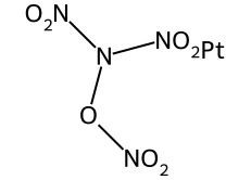 O=[N+]([O-])ON([N+](=O)[O-])[N+](=O)[O-].[Pt]